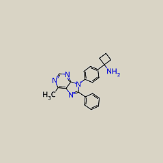 Cc1ncnc2c1nc(-c1ccccc1)n2-c1ccc(C2(N)CCC2)cc1